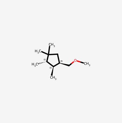 COC[C@@H]1CC(C)(C)[C@@H](C)[C@@H]1C